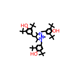 CC1C(Cc2cc(C(C)(C)C)c(O)c(C(C)(C)C)c2)C(C)N(Cc2cc(C(C)(C)C)c(O)c(C(C)(C)C)c2)N(C)N1Cc1cc(C(C)(C)C)c(O)c(C(C)(C)C)c1